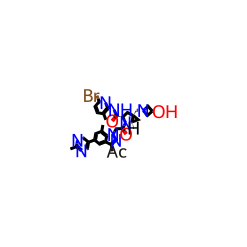 CC(=O)c1nn(CC(=O)N2[C@H](C(=O)Nc3nc(Br)ccc3C)C[C@@]3(CN4CC(O)C4)C[C@@H]23)c2c(C)cc(-c3cnc(C)nc3)cc12